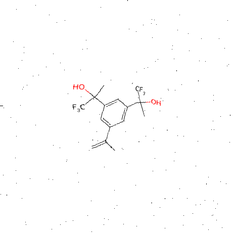 C=C(C)c1cc(C(C)(O)C(F)(F)F)cc(C(C)(O)C(F)(F)F)c1